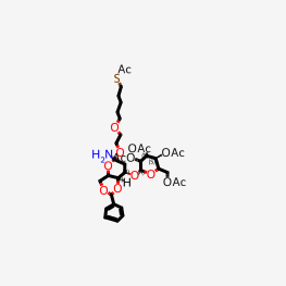 CC(=O)OCC1O[C@@H](O[C@@H]2C[C@@](N)(OCCOCCCCCSC(C)=O)OC3COC(c4ccccc4)O[C@@H]32)C(OC(C)=O)[C@@H](OC(C)=O)[C@H]1OC(C)=O